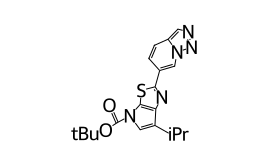 CC(C)c1cn(C(=O)OC(C)(C)C)c2sc(-c3ccc4cnnn4c3)nc12